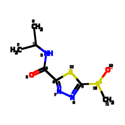 CC(C)NC(=O)c1nnc([S+](C)[O-])s1